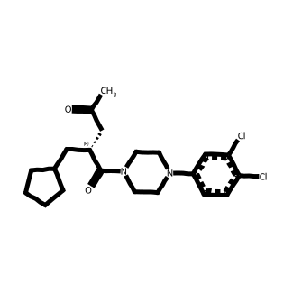 CC(=O)C[C@@H](CC1CCCC1)C(=O)N1CCN(c2ccc(Cl)c(Cl)c2)CC1